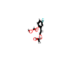 COCOc1ccc(F)cc1CCOC(C)=O